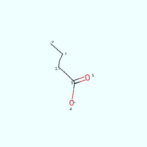 CC[CH]C([O])=O